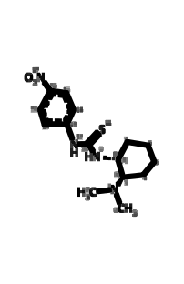 CN(C)[C@@H]1CCCC[C@H]1NC(=S)Nc1ccc([N+](=O)[O-])cc1